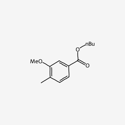 CCCCOC(=O)c1ccc(C)c(OC)c1